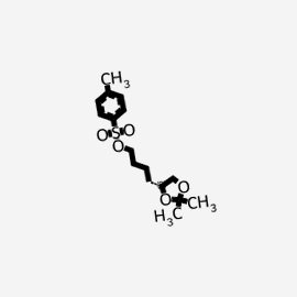 Cc1ccc(S(=O)(=O)OCCCC[C@@H]2COC(C)(C)O2)cc1